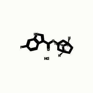 CN1[C@@H]2CC[C@H]1C[C@@H](OC(=O)c1c[nH]c3cc(F)ccc13)C2.Cl